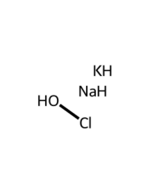 OCl.[KH].[NaH]